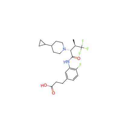 C[C@H]([C@H](C(=O)Nc1cc(CCC(=O)O)ccc1F)N1CCC(C2CC2)CC1)C(F)(F)F